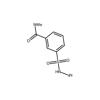 CNC(=O)c1cccc(S(=O)(=O)NC(C)C)c1